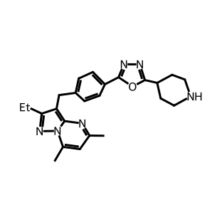 CCc1nn2c(C)cc(C)nc2c1Cc1ccc(-c2nnc(C3CCNCC3)o2)cc1